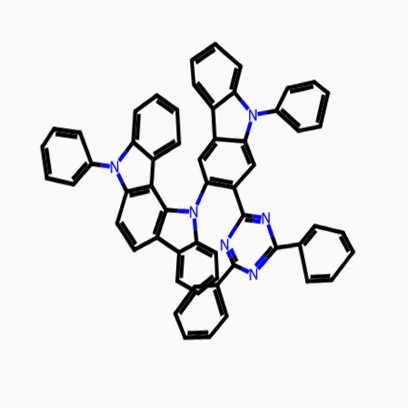 c1ccc(-c2nc(-c3ccccc3)nc(-c3cc4c(cc3-n3c5ccccc5c5ccc6c(c7ccccc7n6-c6ccccc6)c53)c3ccccc3n4-c3ccccc3)n2)cc1